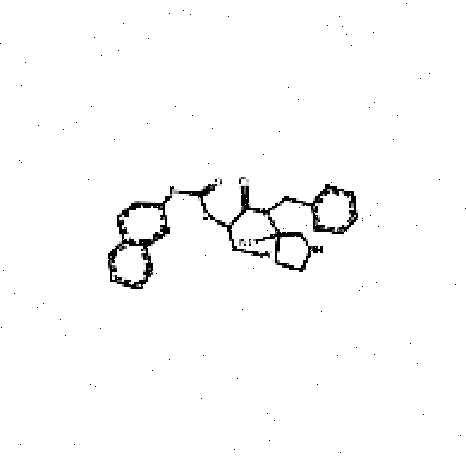 CC(C)CC(OC(=O)Nc1ccc2ccccc2c1)C(=O)N(Cc1ccccc1)C1(C#N)CCNC1